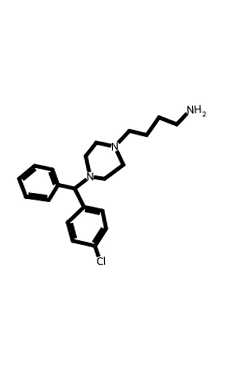 NCCCCN1CCN(C(c2ccccc2)c2ccc(Cl)cc2)CC1